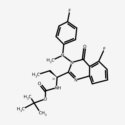 CC[C@H](NC(=O)OC(C)(C)C)c1nc2cccc(F)c2c(=O)n1N(C)c1ccc(F)cc1